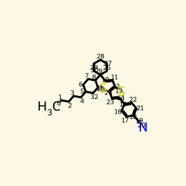 CCCCCC1CCC(C2(c3cc4sc(-c5ccc(C#N)cc5)cc4s3)CCCCC2)CC1